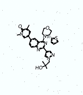 Cc1cc(-c2ccc3nc(-c4cnn(CC(C)(C)O)c4)nc(N4CCOC[C@@H]4c4cccs4)c3c2)cn(C)c1=O